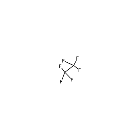 FC(F)(F)C(F)(F)F